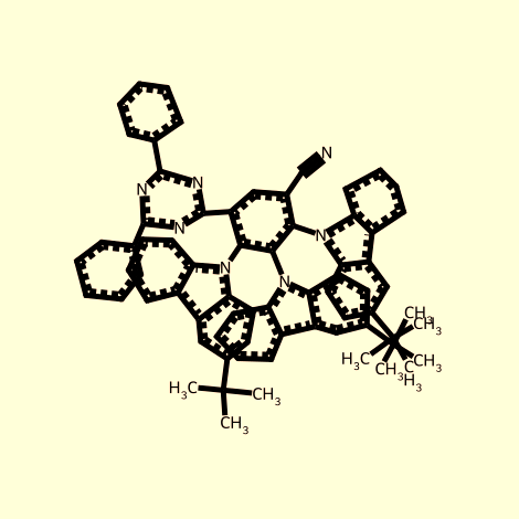 CC(C)(C)c1ccc2c(c1)c1ccccc1n2-c1c(C#N)cc(-c2nc(-c3ccccc3)nc(-c3ccccc3)n2)c(-n2c3ccccc3c3cc(C(C)(C)C)ccc32)c1-n1c2ccccc2c2cc(C(C)(C)C)ccc21